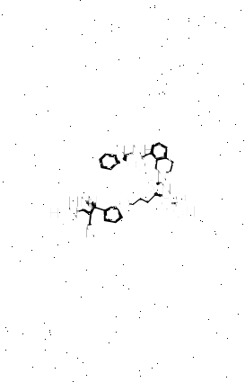 N#Cc1c(-c2cccc(OCCCc3sc(N4CCc5cccc(C(=O)Nc6nc7ccccc7s6)c5C4)nc3OC(=O)O)c2)n[nH]c1N